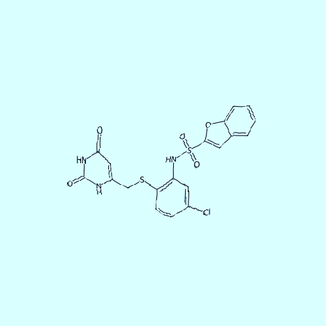 O=c1cc(CSc2ccc(Cl)cc2NS(=O)(=O)c2cc3ccccc3o2)[nH]c(=O)[nH]1